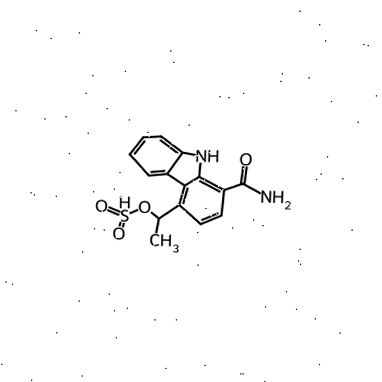 CC(O[SH](=O)=O)c1ccc(C(N)=O)c2[nH]c3ccccc3c12